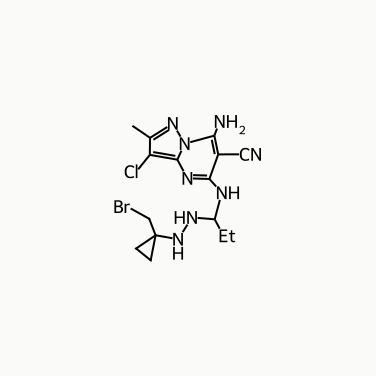 CCC(NNC1(CBr)CC1)Nc1nc2c(Cl)c(C)nn2c(N)c1C#N